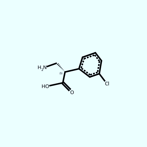 NC[C@@H](C(=O)O)c1cccc(Cl)c1